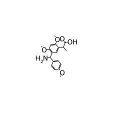 COc1ccc(C(N)c2cc(C(C)C(=O)O)c(OC)cc2OC)cc1